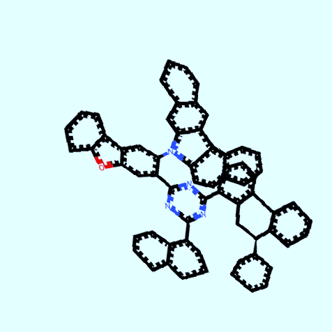 c1ccc([C@H]2Cc3c(-c4nc(-c5cc6oc7ccccc7c6cc5-n5c6cc7ccccc7cc6c6c7ccccc7ccc65)nc(-c5cccc6ccccc56)n4)cccc3-c3ccccc32)cc1